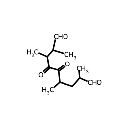 CC(C=O)CC(C)C(=O)C(=O)C(C)C(C)C=O